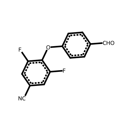 N#Cc1cc(F)c(Oc2ccc(C=O)cc2)c(F)c1